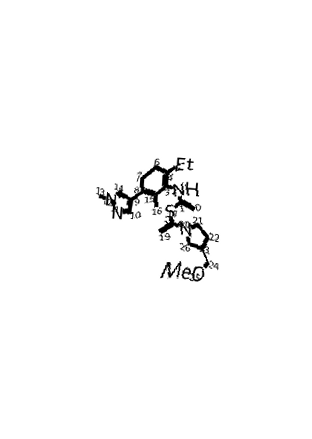 C=C(NC1=C(CC)CCC(c2cnn(C)c2)=C1C)SC(=C)N1CC[C@@H](COC)C1